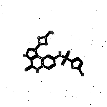 CC1OC(c2c[nH]c3c(=O)[nH]c4ccc(NS(=O)(=O)c5ccc(Cl)s5)cc4c23)O1